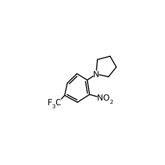 O=[N+]([O-])c1cc(C(F)(F)F)ccc1N1CCCC1